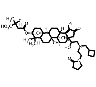 CC(C)C1=C2[C@H]3CC[C@@H]4[C@@]5(C)CC[C@H](OC(=O)CC(C)(C)C(=O)O)C(C)(C)[C@@H]5CC[C@@]4(C)[C@]3(C)CCC2(C(O)CN(CCN2CCCC2=O)CC2CCC2)CC1=O